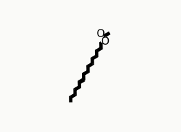 CCCCCC=CCCCCCCCCCOC(C)=O